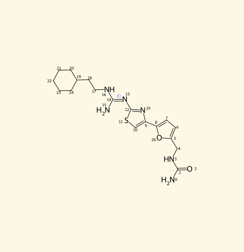 NC(=O)NCc1ccc(-c2csc(/N=C(\N)NCCC3CCCCC3)n2)o1